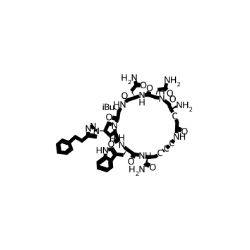 CCC(C)[C@@H]1NC(=O)[C@H](CC(N)=O)NC(=O)[C@H](CC(N)=O)NC(=O)[C@@H](N)CCC(=O)NCCCC[C@@H](C(N)=O)NC(=O)[C@H](Cc2c[nH]c3ccccc23)NC(=O)[C@@H]2C[C@H](n3cc(CCc4ccccc4)nn3)CN2C1=O